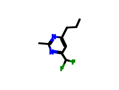 CCCc1cc(C(F)F)nc(C)n1